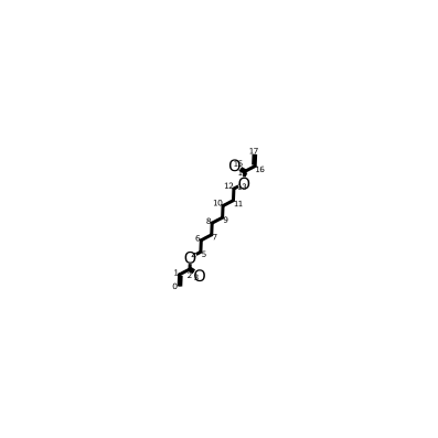 C=CC(=O)OCCCCCCCCOC(=O)C=C